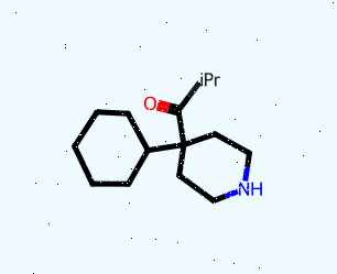 CC(C)C(=O)C1(C2CCCCC2)CCNCC1